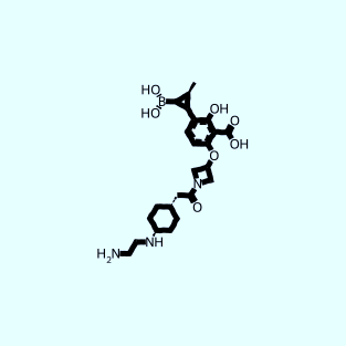 C[C@@H]1C(B(O)O)C1c1ccc(OC2CN(C(=O)C[C@H]3CC[C@@H](NCCN)CC3)C2)c(C(=O)O)c1O